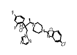 C[C@@H](N1CCN(c2nc3cc(Cl)ccc3o2)CC1)[C@](O)(Cn1cncn1)c1ccc(F)cc1F